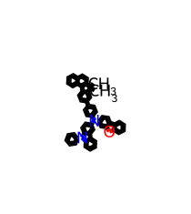 CC1(C)c2cc(-c3ccc(N(c4ccc5c(c4)oc4ccccc45)c4ccc5c(c4)c4ccccc4n5-c4ccccc4)cc3)ccc2-c2c1ccc1ccccc21